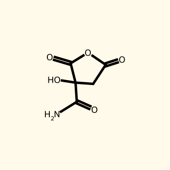 NC(=O)C1(O)CC(=O)OC1=O